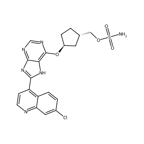 NS(=O)(=O)OC[C@H]1CC[C@H](Oc2ncnc3nc(-c4ccnc5cc(Cl)ccc45)[nH]c23)C1